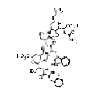 CCC(C)C(NC(=O)C(N)Cc1ccccc1)C(=O)NC(CCC(=O)O)C(=O)NC(Cc1c[nH]c2ccccc12)C(=O)NC(CC(C)C)C(=O)NC(CCCCN)C(=O)NC(CC(N)=O)C(=O)O